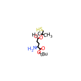 CC(C)(C)OC(=O)C(N)CCC(=O)OC(C)(C)CS